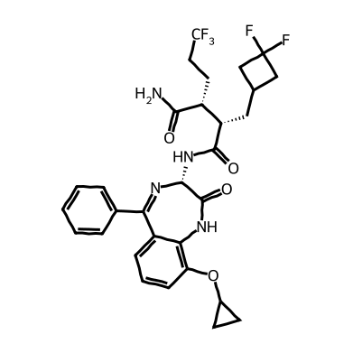 NC(=O)[C@H](CCC(F)(F)F)[C@H](CC1CC(F)(F)C1)C(=O)N[C@H]1N=C(c2ccccc2)c2cccc(OC3CC3)c2NC1=O